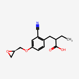 CCC(Cc1ccc(OC[C@H]2CO2)cc1C#N)C(=O)O